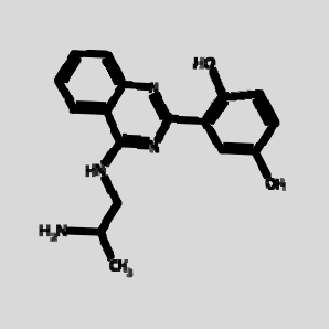 CC(N)CNc1nc(-c2cc(O)ccc2O)nc2ccccc12